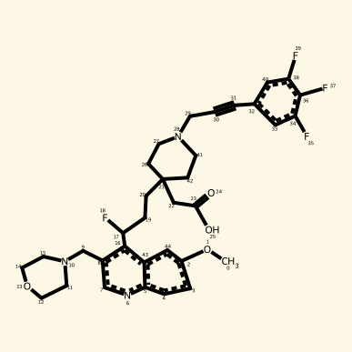 COc1ccc2ncc(CN3CCOCC3)c(C(F)CCC3(CC(=O)O)CCN(CC#Cc4cc(F)c(F)c(F)c4)CC3)c2c1